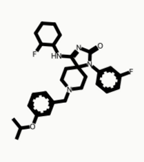 CC(C)Oc1cccc(CN2CCC3(CC2)C(NC2CCCCC2F)=NC(=O)N3c2cccc(F)c2)c1